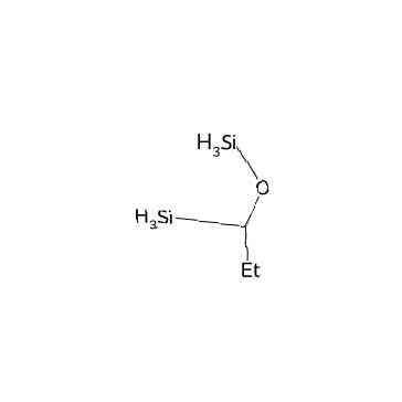 CCC([SiH3])O[SiH3]